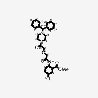 COC(=O)c1cc(Cl)ccc1NC(=O)COCC(=O)N1CCN(C(c2ccccc2)c2ccccc2)CC1